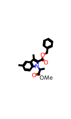 COC(=O)C(C)n1c(C(=O)OCc2ccccc2)c(C)c2cc(C)ccc21